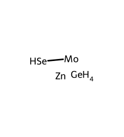 [GeH4].[SeH][Mo].[Zn]